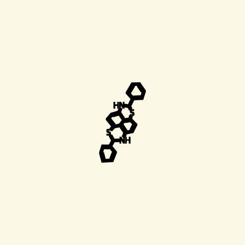 c1ccc(C2Nc3ccc4c5c(ccc(c35)S2)NC(c2ccccc2)S4)cc1